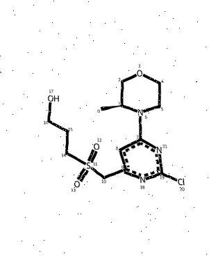 C[C@H]1COCCN1c1cc(CS(=O)(=O)CCCO)nc(Cl)n1